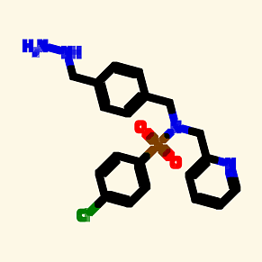 NNCc1ccc(CN(Cc2ccccn2)S(=O)(=O)c2ccc(Cl)cc2)cc1